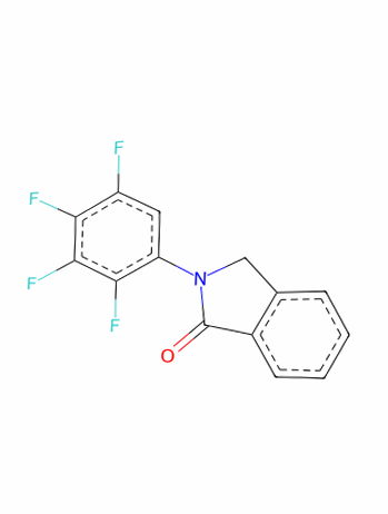 O=C1c2ccccc2CN1c1cc(F)c(F)c(F)c1F